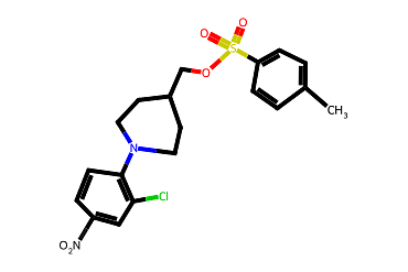 Cc1ccc(S(=O)(=O)OCC2CCN(c3ccc([N+](=O)[O-])cc3Cl)CC2)cc1